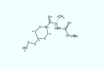 C[C@H](NC(=O)OC(C)(C)C)C(=O)N1CCC(CCO)CC1